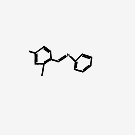 Cc1ccc(C=Nc2ccccc2)c(C)c1